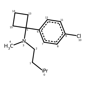 CC(C)CCN(C)C1(c2ccc(Cl)cc2)CCC1